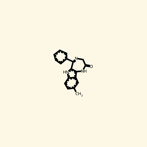 Cc1ccc2[nH]c3c(c2c1)NC(=O)CN=C3c1ccccc1